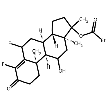 CCC(=O)OC1(C)CC[C@H]2[C@@H]3CC(F)C4=C(F)C(=O)CC[C@]4(C)[C@@H]3C(O)C[C@@]21C